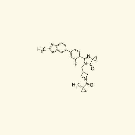 Cc1cc2cc(C3=CC(F)C(C4=NC5(CC5)C(=O)N4CC4CN(C(=O)C5(C)CC5)C4)C=C3)ccc2s1